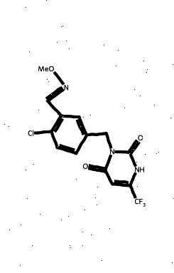 CON=Cc1cc(Cn2c(=O)cc(C(F)(F)F)[nH]c2=O)ccc1Cl